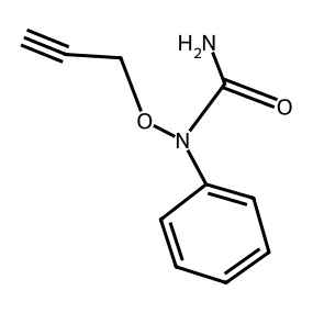 C#CCON(C(N)=O)c1ccccc1